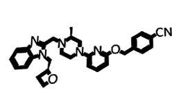 C[C@H]1CN(c2cccc(OCc3ccc(C#N)cc3)n2)CCN1Cc1nc2ccccc2n1C[C@@H]1CCO1